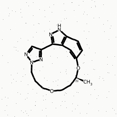 C[C@H]1CCOCCCn2ncc(n2)-c2n[nH]c3ccc(cc23)O1